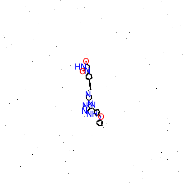 Nc1ncnc2c1c(-c1ccc(Oc3ccccc3)cc1)nn2C1CCN(CCC#Cc2ccc(-n3ccc(=O)[nH]c3=O)cc2)CC1